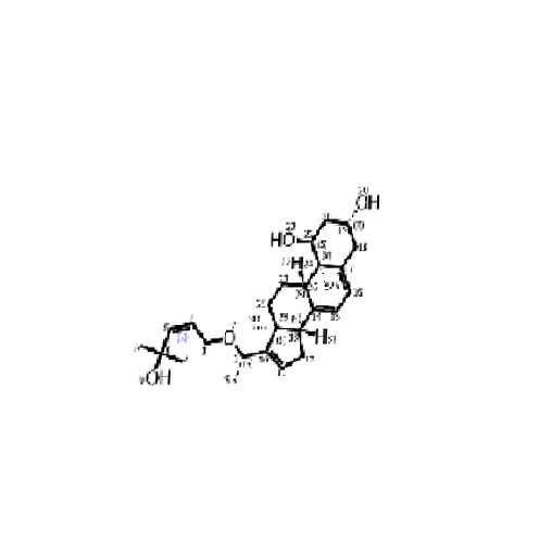 C[C@H](OC/C=C\C(C)(C)O)C1=CC[C@H]2C3=CC=C4C[C@@H](O)C[C@H](O)[C@]4(C)[C@H]3CC[C@]12C